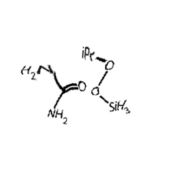 CC(C)OO[SiH3].NC(N)=O